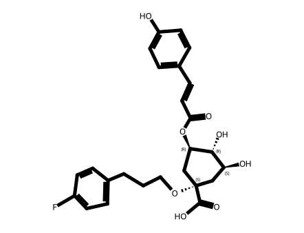 O=C(C=Cc1ccc(O)cc1)O[C@@H]1C[C@](OCCCc2ccc(F)cc2)(C(=O)O)C[C@H](O)[C@H]1O